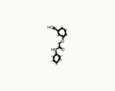 C#Cc1cccc(OCC(=O)Nc2ccccc2)c1